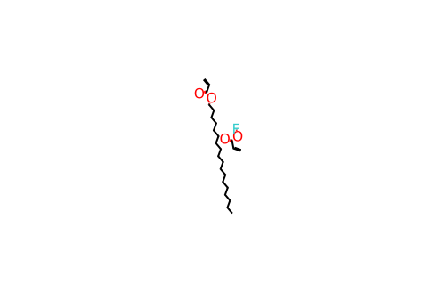 C=CC(=O)OCCCCCCCCCCCCCCCCCC.C=CC(=O)OF